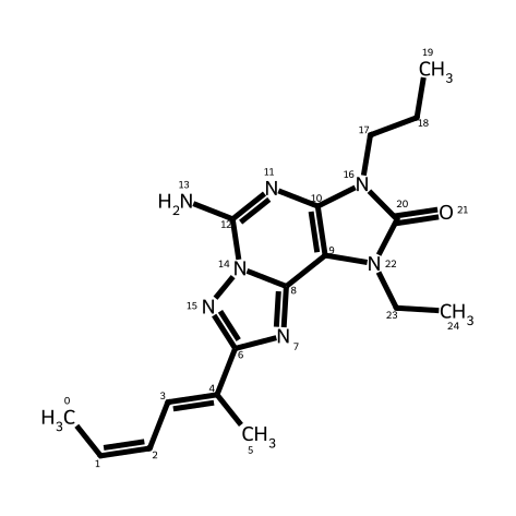 C/C=C\C=C(/C)c1nc2c3c(nc(N)n2n1)n(CCC)c(=O)n3CC